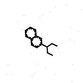 CCC(CC)c1[c]c2ccccc2cc1